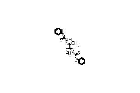 CC(=N\NC(=S)Nc1ccccc1)/C(C)=N/NC(=S)Nc1ccccc1